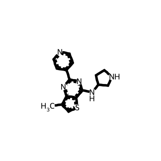 Cc1csc2c(NC3CCNC3)nc(-c3ccncc3)nc12